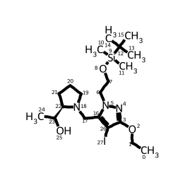 CCOc1nn(CCO[Si](C)(C)C(C)(C)C)c(CN2CCC[C@@H]2C(C)O)c1I